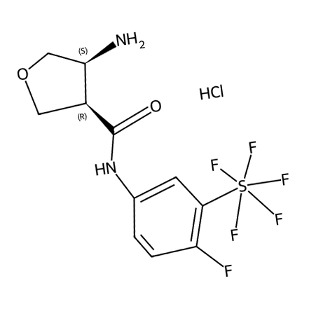 Cl.N[C@@H]1COC[C@@H]1C(=O)Nc1ccc(F)c(S(F)(F)(F)(F)F)c1